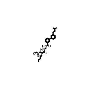 CCCCC[C@H](CN(O)C=O)C(=O)NCNC(=O)c1cccc(-c2cccc(CCC(C)C)c2)c1